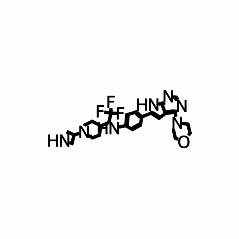 FC(F)(F)C(Nc1ccc(-c2cc3c(N4CCOCC4)ncnc3[nH]2)cc1)C1CCN(C2CNC2)CC1